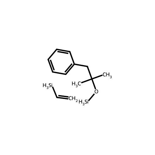 C=C[SiH3].CC(C)(Cc1ccccc1)O[SiH3]